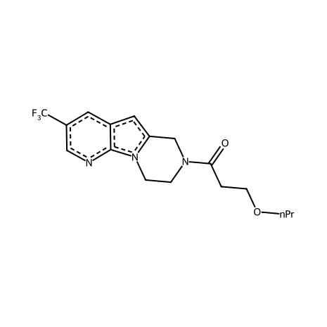 CCCOCCC(=O)N1CCn2c(cc3cc(C(F)(F)F)cnc32)C1